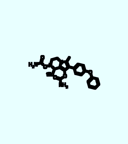 Cc1c(-c2ccc(Oc3ccccc3)cc2)c(OC(N)=O)c2n1CCN(OC(N)=O)C2C(C)(C)C